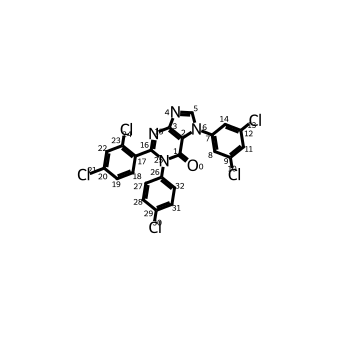 O=c1c2c(ncn2-c2cc(Cl)cc(Cl)c2)nc(-c2ccc(Cl)cc2Cl)n1-c1ccc(Cl)cc1